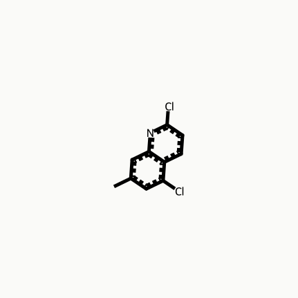 Cc1cc(Cl)c2ccc(Cl)nc2c1